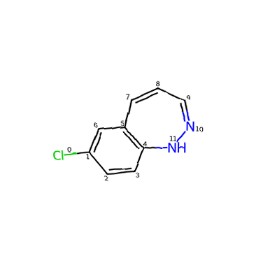 Clc1ccc2c(c1)C=CC=NN2